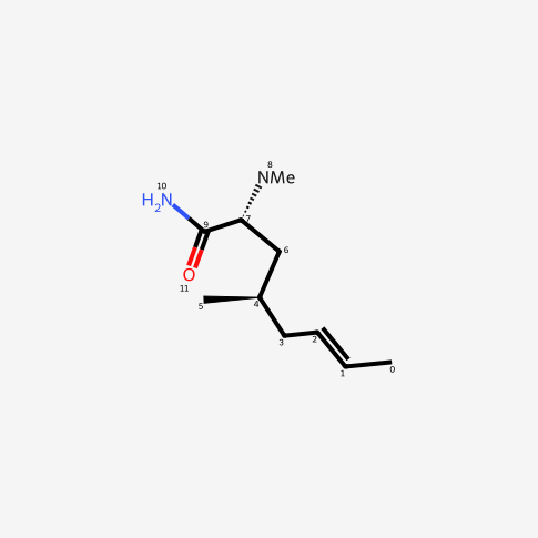 C/C=C/C[C@@H](C)C[C@@H](NC)C(N)=O